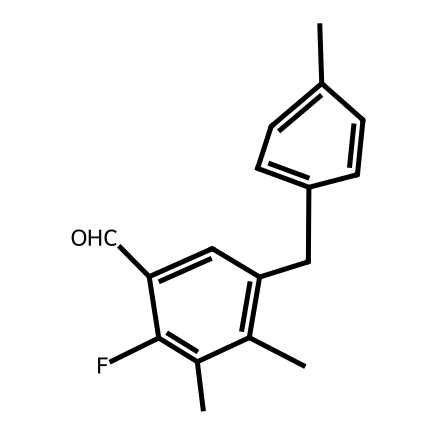 Cc1ccc(Cc2cc(C=O)c(F)c(C)c2C)cc1